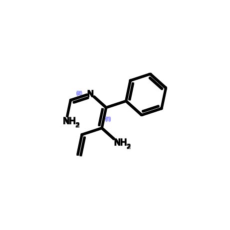 C=C/C(N)=C(\N=C/N)c1ccccc1